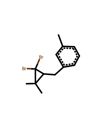 Cc1cc[c]c(CC2C(C)(C)C2(Br)Br)c1